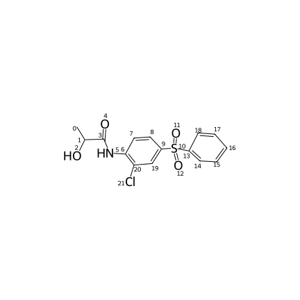 CC(O)C(=O)Nc1ccc(S(=O)(=O)c2ccccc2)cc1Cl